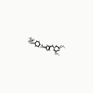 CCS(=O)(=O)N[C@H]1CC[C@H](CNc2nc(CN3C[C@@H](C)O[C@@H](C)C3)cs2)CC1